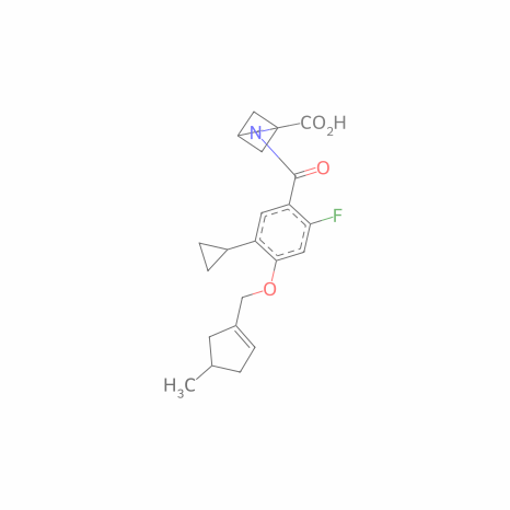 CC1CC=C(COc2cc(F)c(C(=O)N3CC4CC3(C(=O)O)C4)cc2C2CC2)C1